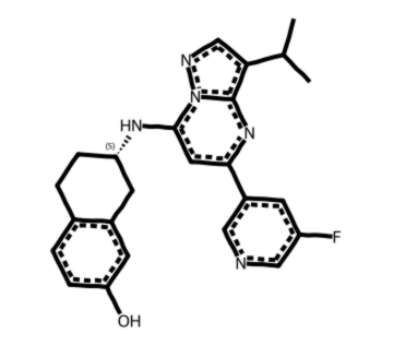 CC(C)c1cnn2c(N[C@H]3CCc4ccc(O)cc4C3)cc(-c3cncc(F)c3)nc12